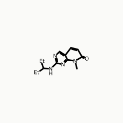 CCC(CC)Nc1ncc2ccc(=O)n(C)c2n1